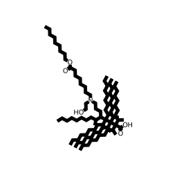 CCCCCCCCCOC(=O)CCCCCCCN(CCO)CCCC(C(C)CCCCCCCC)C(C(C)CCCCCCCC)(C(C)CCCCCCCC)C(C(C)CCCCCCCC)(C(C)CCCCCCCC)C(C(=O)O)(C(C)CCCCCCCC)C(C)CCCCCCCC